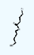 O=C(CCCO)OCCCCO